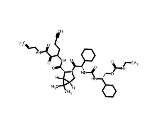 C#CCCC(NC(=O)[C@@H]1[C@@H]2[C@H](CN1C(=O)[C@@H](NC(=O)N[C@H](COC(=O)NCC)C1CCCCC1)C1CCCCC1)C2(C)C)C(=O)C(=O)NCC=C